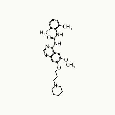 COc1cc2c(NC(=O)Nc3c(C)cccc3C)ncnc2cc1OCCCN1CCCCC1